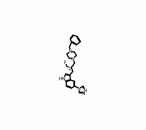 FC[C@H](Cc1c[nH]c2ccc(-n3cnnc3)cc12)CN1CCN(Cc2ccccc2)CC1